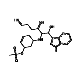 CS(=O)(=O)OC1C=CCC(NC(C(=N)CCC=N)C(O)c2c[nH]c3ccccc23)C1